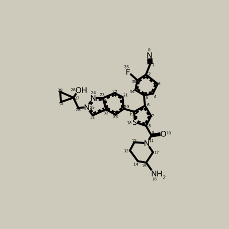 N#Cc1ccc(-c2cc(C(=O)N3CCCC(N)C3)sc2-c2ccc3nn(CC4(O)CC4)cc3c2)cc1F